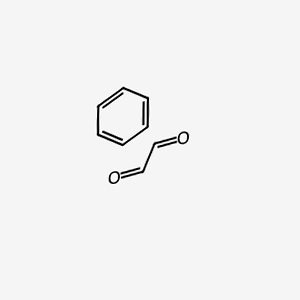 O=CC=O.c1ccccc1